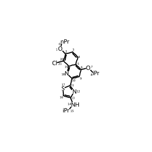 CCCOc1ccc2c(OC(C)C)cc(-c3nc(NC(C)C)cs3)nc2c1Cl